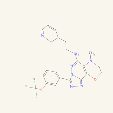 CN1CCOc2c1c(NCCC1C=CC=NC1)nn1c(-c3cccc(OC(F)(F)F)c3)nnc21